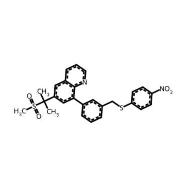 CC(C)(c1cc(-c2cccc(CSc3ccc([N+](=O)[O-])cc3)c2)c2ncccc2c1)S(C)(=O)=O